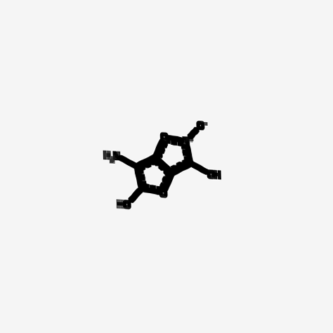 Nc1c(O)oc2c(O)[n+]([O-])oc12